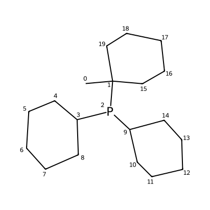 CC1(P(C2CCCCC2)C2CCCCC2)CCCCC1